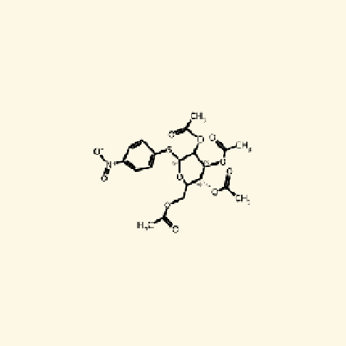 CC(=O)OCC1O[C@@H](Sc2ccc([N+](=O)[O-])cc2)C(OC(C)=O)[C@@H](OC(C)=O)[C@@H]1OC(C)=O